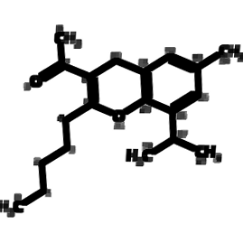 CCCCCC1=C(C(C)=O)Cc2cc(C)cc(C(C)C)c2O1